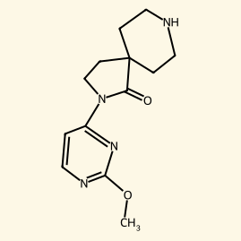 COc1nccc(N2CCC3(CCNCC3)C2=O)n1